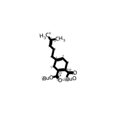 CC(C)=CCCC1=CCC(C(=O)OCC(C)C)=C(C(=O)OCC(C)C)C1